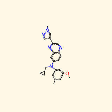 COc1cc(C)cc(N(CC2CC2)c2ccc3ncc(-c4cnn(C)c4)nc3c2)c1